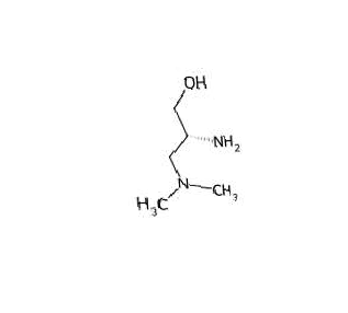 CN(C)C[C@@H](N)CO